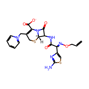 C=CCON=C(C(=O)NC1C(=O)N2C(C(=O)[O-])=C(C[n+]3ccccc3)CS[C@@H]12)c1csc(N)n1